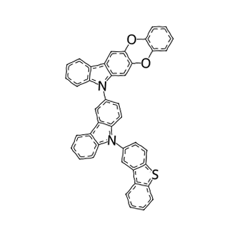 c1ccc2c(c1)Oc1cc3c4ccccc4n(-c4ccc5c(c4)c4ccccc4n5-c4ccc5sc6ccccc6c5c4)c3cc1O2